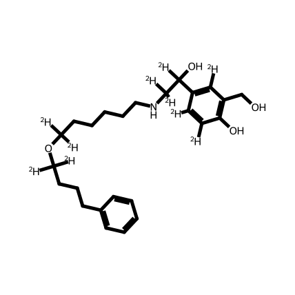 [2H]c1c([2H])c(C([2H])(O)C([2H])([2H])NCCCCCC([2H])([2H])OC([2H])([2H])CCCc2ccccc2)c([2H])c(CO)c1O